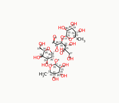 C[C@@H]1O[C@@H](O[C@H]2[C@@H](O[C@@H](C=O)[C@@H](O[C@@H]3O[C@@H](C)[C@@H](O)[C@@H](O)[C@@H]3O)[C@H](O)[C@H](O)CO)O[C@H](CO)[C@H](O)[C@@H]2O)[C@@H](O)[C@H](O)[C@@H]1O